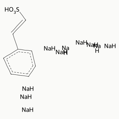 O=S(=O)(O)C=Cc1ccccc1.[NaH].[NaH].[NaH].[NaH].[NaH].[NaH].[NaH].[NaH].[NaH].[NaH]